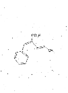 CC=CC(=Cc1ccccc1)C(=O)O